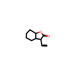 C=CC1C(=O)OC2CCCCC21